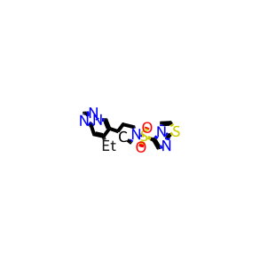 CCc1cc2ncnn2cc1C1CCN(S(=O)(=O)c2cnc3sccn23)CC1